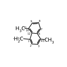 [CH2]c1ccc(C)c2cccc(C)c12